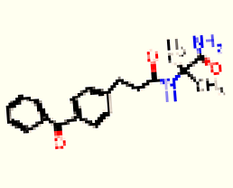 CC(C)(NC(=O)CCc1ccc(C(=O)c2ccccc2)cc1)C(N)=O